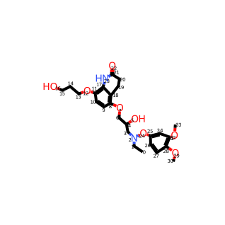 CCN(CC(O)COc1ccc(OCCCO)c2c1CCC(=O)N2)Oc1ccc(OC)c(OC)c1